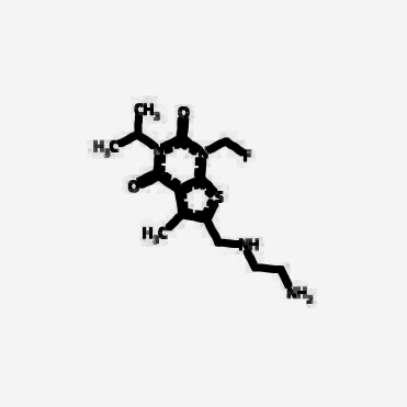 Cc1c(CNCCN)sc2c1c(=O)n(C(C)C)c(=O)n2CF